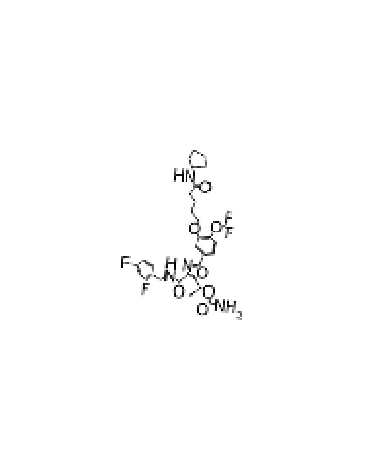 C[C@H](OC(N)=O)c1oc(-c2ccc(OC(F)F)c(OCCCCC(=O)NC3CCCC3)c2)nc1C(=O)NCc1ccc(F)cc1F